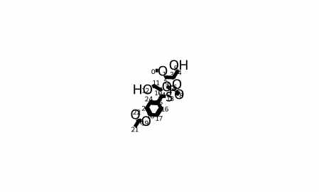 COCC(CO)OP(=O)(OCCO)SCc1ccc(OC(C)=O)cc1